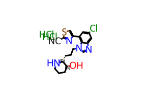 Cl.Cl.N#Cc1nc(-c2cc(Cl)cc3ncn(CCC[C@H]4NCCC[C@@H]4O)c23)cs1